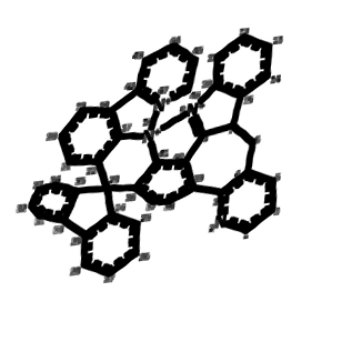 c1cnc2c(c1)CC1C3=[N+](c4ccccc41)[N+]14c5c(cccc5C5(c6ccccc6-c6ccccc65)c5ccc-2c3c51)-c1cccc[n+]14